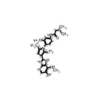 CNc1c(Br)cnc2nc(-c3cc(C)n(-c4ccc(NC(=O)CN(C)C)cc4C)c3C)[nH]c12